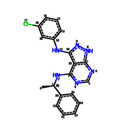 C[C@@H](Nc1ncnc2[nH]nc(Nc3cccc(Cl)c3)c12)c1ccccc1